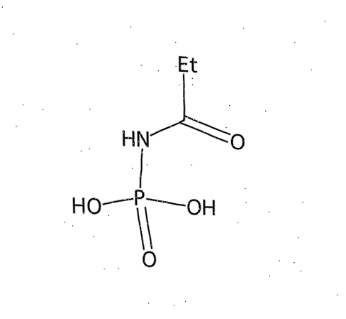 CCC(=O)NP(=O)(O)O